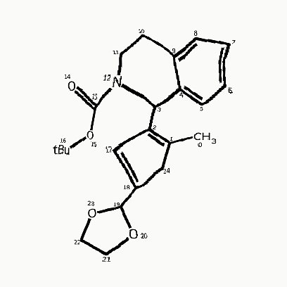 CC1=C(C2c3ccccc3CCN2C(=O)OC(C)(C)C)C=C(C2OCCO2)C1